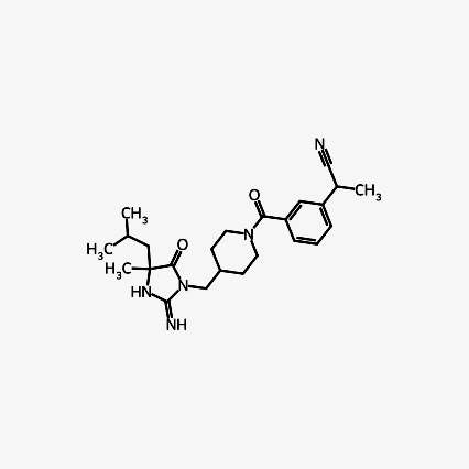 CC(C)CC1(C)NC(=N)N(CC2CCN(C(=O)c3cccc(C(C)C#N)c3)CC2)C1=O